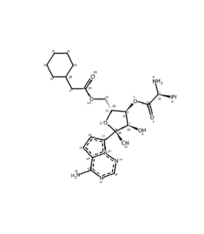 CC(C)[C@H](N)C(=O)O[C@H]1[C@@H](O)[C@](C#N)(c2ccc3c(N)ncnn23)O[C@@H]1COC(=O)CC1CCCCC1